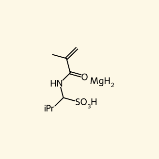 C=C(C)C(=O)NC(C(C)C)S(=O)(=O)O.[MgH2]